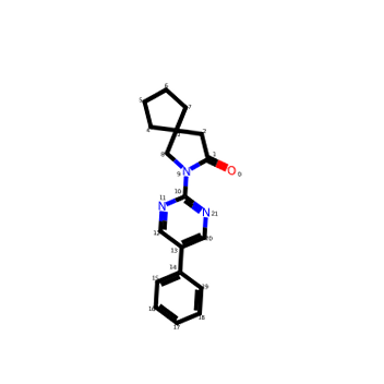 O=C1CC2(CCCC2)CN1c1ncc(-c2ccccc2)cn1